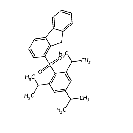 CC(C)c1cc(C(C)C)c(S(=O)(=O)c2cccc3c2Cc2ccccc2-3)c(C(C)C)c1